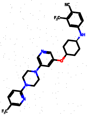 N#Cc1ccc(N[C@H]2CC[C@H](Oc3cncc(N4CCN(c5ccc(C(F)(F)F)cn5)CC4)c3)CC2)cc1C(F)(F)F